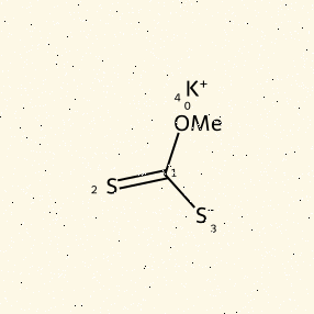 COC(=S)[S-].[K+]